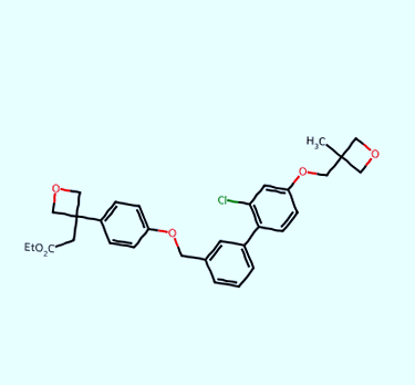 CCOC(=O)CC1(c2ccc(OCc3cccc(-c4ccc(OCC5(C)COC5)cc4Cl)c3)cc2)COC1